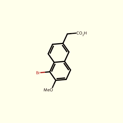 COc1ccc2cc(CC(=O)O)ccc2c1Br